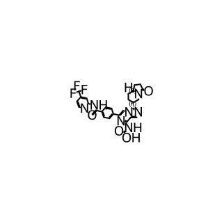 O=C(O)Nc1nc(-c2ccc(C(=O)Nc3cc(C(F)(F)F)ccn3)cc2)cn2c([C@@H]3CC[C@H]4CCC(=O)N4C3)ncc12